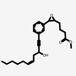 CCCCC/C=C\CC(O)C#Cc1cccc(C2OC2CCCC(=O)OC)c1